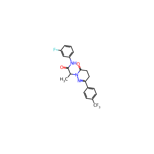 CC(C(=O)Nc1cccc(F)c1)N1N=C(c2ccc(C(F)(F)F)cc2)CCC1=O